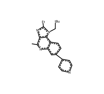 CCc1nc2c(C)nc3cc(-c4ccncc4)ccc3c2n1CC(C)(C)C